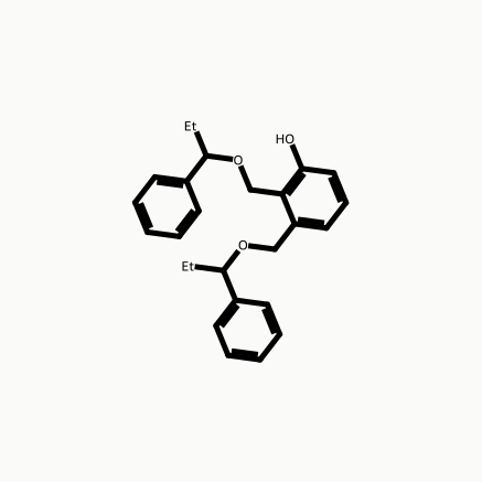 CCC(OCc1cccc(O)c1COC(CC)c1ccccc1)c1ccccc1